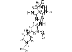 CNc1nc(Nc2ccc(P3(=O)CCN(C4CC4)CC3)cc2OC)nc2[nH]cc(C(F)(F)F)c12